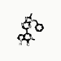 Cc1nc2ncc(-c3cn(C)c(=O)c4[nH]ccc34)nc2n1Cc1ccccc1